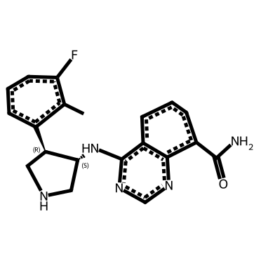 Cc1c(F)cccc1[C@@H]1CNC[C@H]1Nc1ncnc2c(C(N)=O)cccc12